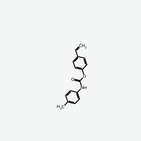 C=Cc1ccc(OC(=O)Nc2ccc(C)cc2)cc1